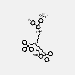 CC(C)(C)OC(=O)N(CCSC(c1ccccc1)(c1ccccc1)c1ccccc1)CCN(CCCCCC(F)(F)c1cc(-c2ccc(F)cc2)n(-c2ccc(S(N)(=O)=O)cc2)n1)CCSC(c1ccccc1)(c1ccccc1)c1ccccc1